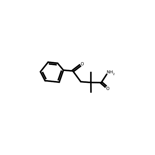 CC(C)(CC(=O)c1ccccc1)C(N)=O